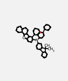 CC1(C)c2ccccc2-c2ccc(N(c3ccc(-c4ccccc4)cc3)c3ccc4oc5c6ccccc6ccc5c4c3-c3ccccc3)cc21